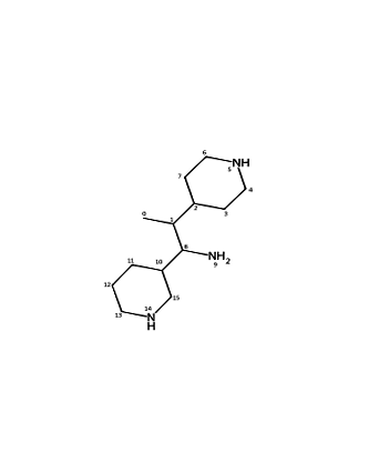 CC(C1CCNCC1)C(N)C1CCCNC1